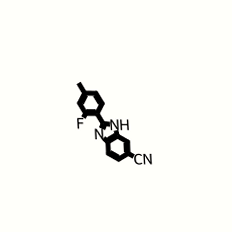 Cc1ccc(-c2nc3ccc(C#N)cc3[nH]2)c(F)c1